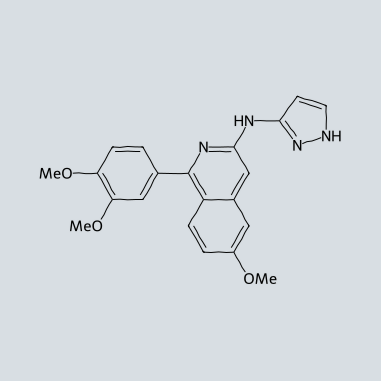 COc1ccc2c(-c3ccc(OC)c(OC)c3)nc(Nc3cc[nH]n3)cc2c1